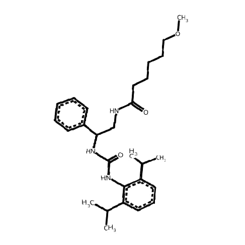 COCCCCCC(=O)NCC(NC(=O)Nc1c(C(C)C)cccc1C(C)C)c1ccccc1